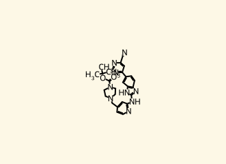 CC(C)(C)OC(=O)N1CCN(Cc2ccnc(Nc3nc4ccc(-c5cc(C#N)ncn5)cc4[nH]3)c2)CC1